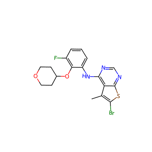 Cc1c(Br)sc2ncnc(Nc3cccc(F)c3OC3CCOCC3)c12